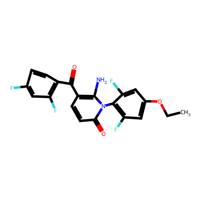 CCOc1cc(F)c(-n2c(N)c(C(=O)c3ccc(F)cc3F)ccc2=O)c(F)c1